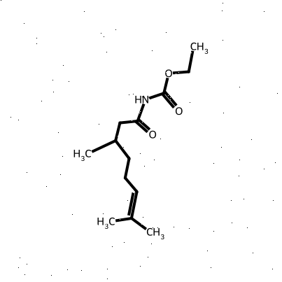 CCOC(=O)NC(=O)CC(C)CCC=C(C)C